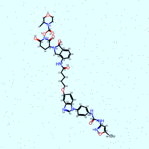 CC1COCCN1C(=O)ON1C(=O)CCC(N2Cc3c(NC(=O)CCCCOc4ccc5c(c4)ncn5-c4ccc(NC(=O)Nc5cc(C(C)(C)C)on5)cc4)cccc3C2=O)C1=O